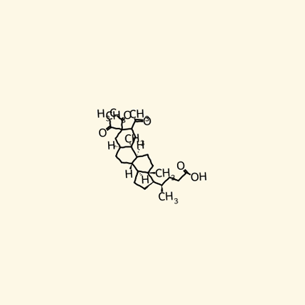 CC(=O)C1C[C@]2(C)[C@@H](CC[C@@H]3[C@@H]2CC[C@]2(C)[C@@H]([C@H](C)CCC(=O)O)CC[C@@H]32)CC1(C(C)=O)C(C)=O